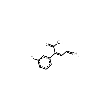 C=CC=C(C(=O)O)c1cccc(F)c1